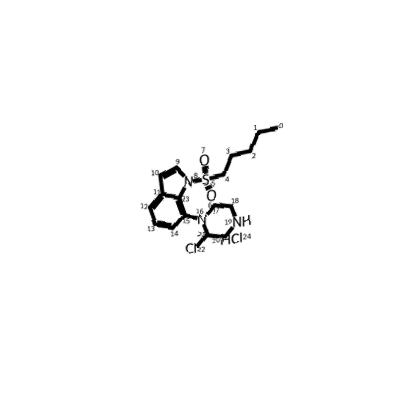 CCCCCS(=O)(=O)n1ccc2cccc(N3CCNCC3Cl)c21.Cl